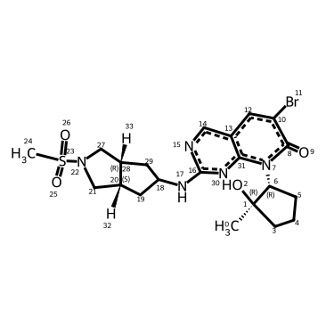 C[C@@]1(O)CCC[C@H]1n1c(=O)c(Br)cc2cnc(NC3C[C@@H]4CN(S(C)(=O)=O)C[C@@H]4C3)nc21